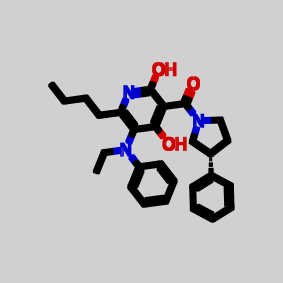 CCCCc1nc(O)c(C(=O)N2CC[C@H](c3ccccc3)C2)c(O)c1N(CC)c1ccccc1